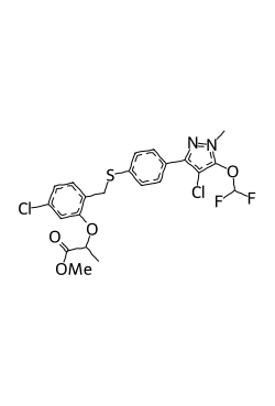 COC(=O)C(C)Oc1cc(Cl)ccc1CSc1ccc(-c2nn(C)c(OC(F)F)c2Cl)cc1